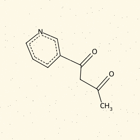 CC(=O)CC(=O)c1cccnc1